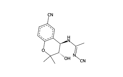 CC(=NC#N)N[C@@H]1c2cc(C#N)ccc2OC(C)(C)[C@H]1O